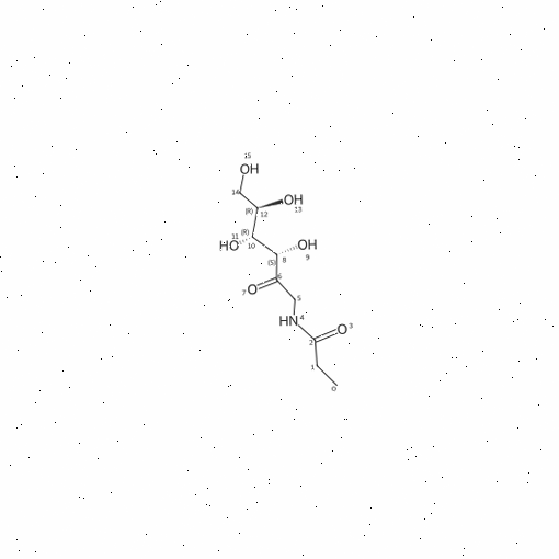 CCC(=O)NCC(=O)[C@@H](O)[C@H](O)[C@H](O)CO